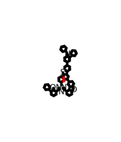 c1ccc(-c2nc(-c3cccc4c3oc3ccccc34)nc(-c3cccc4oc5ccc(-c6ccc7sc8cc(-c9ccc%10c(c9)c9ccccc9n%10-c9ccccc9)ccc8c7c6)cc5c34)n2)cc1